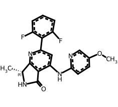 COc1ccc(Nc2cc(-c3c(F)cccc3F)nc3c2C(=O)N[C@@H]3C)nc1